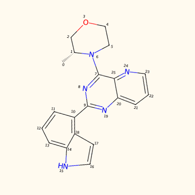 C[C@@H]1COCCN1c1nc(-c2cccc3[nH]ccc23)nc2cccnc12